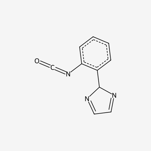 O=C=Nc1ccccc1C1N=CC=N1